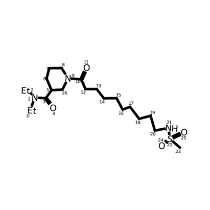 CCN(CC)C(=O)C1CCCN(C(=O)CCCCCCCCCNS(C)(=O)=O)C1